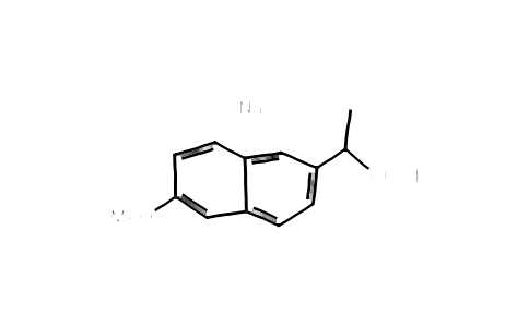 COc1ccc2cc(C(C)C(=O)O)ccc2c1.[Na]